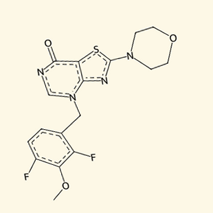 COc1c(F)ccc(Cn2cnc(=O)c3sc(N4CCOCC4)nc32)c1F